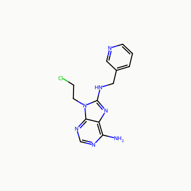 Nc1ncnc2c1nc(NCc1cccnc1)n2CCCl